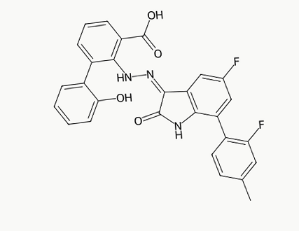 Cc1ccc(-c2cc(F)cc3c2NC(=O)C3=NNc2c(C(=O)O)cccc2-c2ccccc2O)c(F)c1